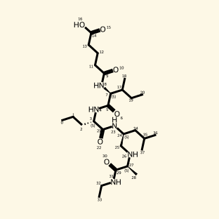 CCC[C@H](NC(=O)[C@@H](NC(=O)CCCC(=O)O)C(C)CC)C(=O)N[C@H](CN[C@@H](C)C(=O)NCC)CC(C)C